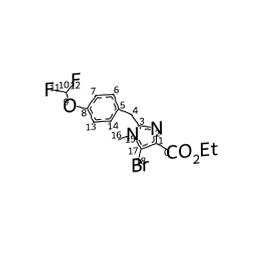 CCOC(=O)c1nc(Cc2ccc(OC(F)F)cc2)n(C)c1Br